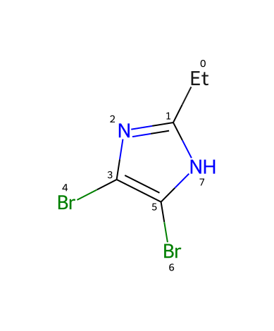 CCc1nc(Br)c(Br)[nH]1